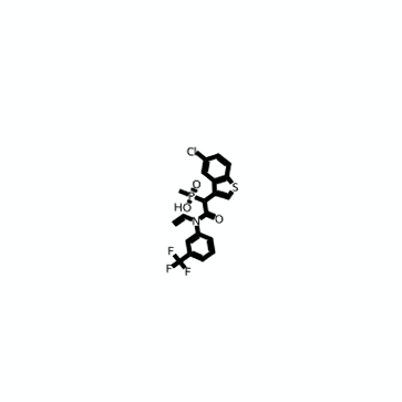 C=CN(C(=O)C(c1csc2ccc(Cl)cc12)P(C)(=O)O)c1cccc(C(F)(F)F)c1